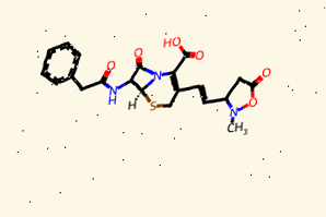 CN1OC(=O)CC1C=CC1=C(C(=O)O)N2C(=O)C(NC(=O)Cc3ccccc3)[C@@H]2SC1